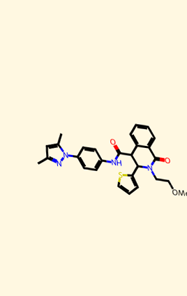 COCCN1C(=O)c2ccccc2C(C(=O)Nc2ccc(-n3nc(C)cc3C)cc2)C1c1cccs1